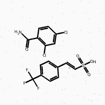 NC(=O)c1ccc(Cl)cc1Cl.O=S(=O)(O)/C=C/c1ccc(C(F)(F)F)cc1